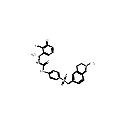 C[C@@H](NC(=O)Nc1ccc(S(=O)(=O)Cc2ccc3c(c2)CCN(C)C3)cc1)c1cccc(Cl)c1Cl